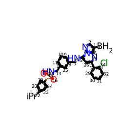 Bc1cnn2c(NCc3cccc(CNS(=O)(=O)c4ccc(C(C)C)cc4)c3)cc(-c3ccccc3Cl)nc12